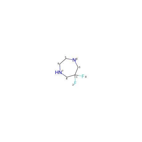 FC1(F)C[N]CCNC1